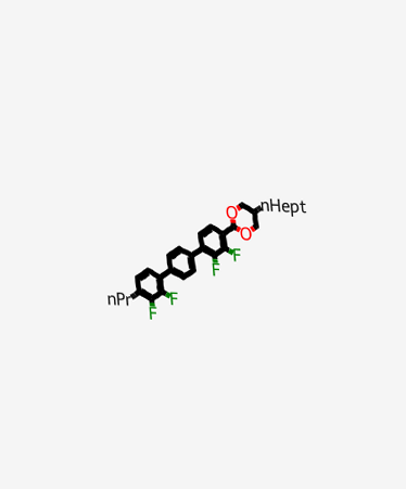 CCCCCCCC1COC(c2ccc(-c3ccc(-c4ccc(CCC)c(F)c4F)cc3)c(F)c2F)OC1